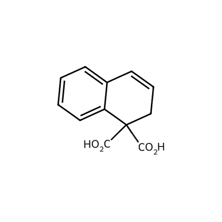 O=C(O)C1(C(=O)O)CC=Cc2ccccc21